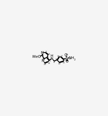 COc1nccc2c(NCc3ccc(S(N)(=O)=O)cc3)ccnc12